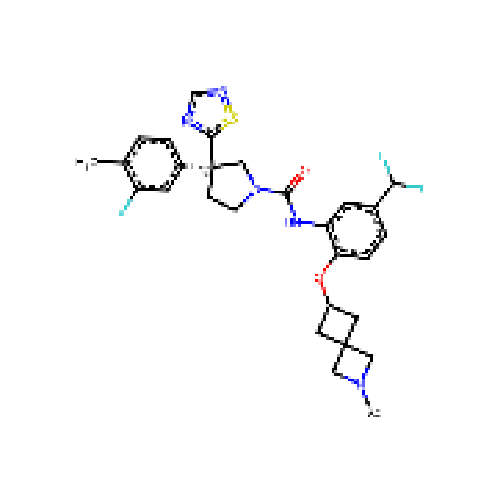 CC(=O)N1CC2(CC(Oc3ccc(C(F)F)cc3NC(=O)N3CC[C@@](c4ccc(C)c(F)c4)(c4ncns4)C3)C2)C1